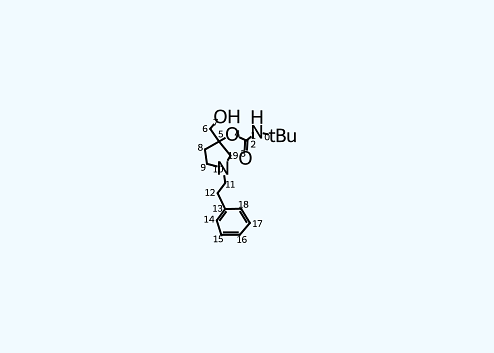 CC(C)(C)NC(=O)OC1(CO)CCN(CCc2ccccc2)C1